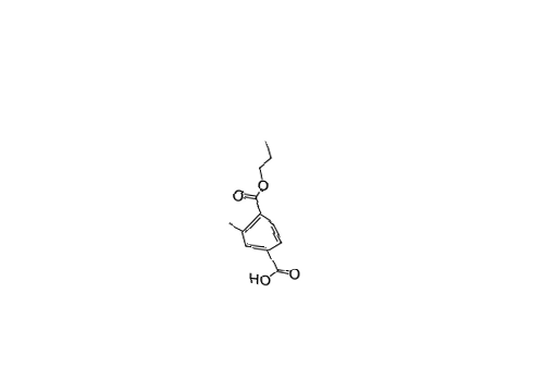 CCCOC(=O)c1ccc(C(=O)O)cc1C